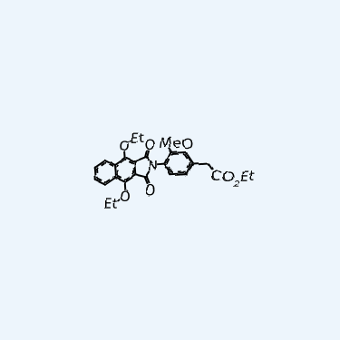 CCOC(=O)Cc1ccc(N2C(=O)c3c(c(OCC)c4ccccc4c3OCC)C2=O)c(OC)c1